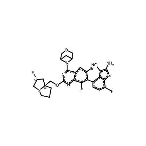 N#Cc1c(N)sc2c(F)ccc(-c3c(Br)cc4c(N5C6COCC5C6)nc(OC[C@@]56CCCN5C[C@H](F)C6)nc4c3F)c12